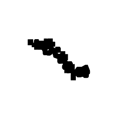 CNNC1=C(N)CN(C(=O)Cc2nnc(-c3cnc(NC4Cc5ccoc5C4)nc3)o2)CC1